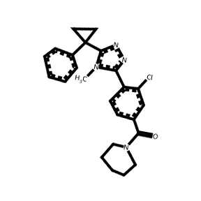 Cn1c(-c2ccc(C(=O)N3CCCCC3)cc2Cl)nnc1C1(c2ccccc2)CC1